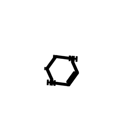 [C]1[C]NC=CN1